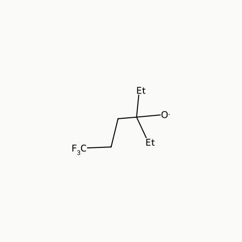 CCC([O])(CC)CCC(F)(F)F